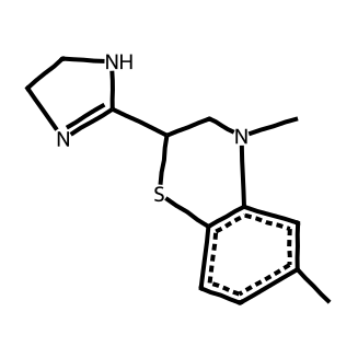 Cc1ccc2c(c1)N(C)CC(C1=NCCN1)S2